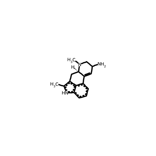 Cc1[nH]c2cccc3c2c1C[C@@H]1C3=CC(N)CN1C